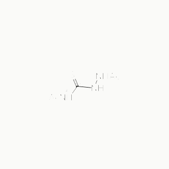 CC(=O)NNC(=S)NC(C)=O